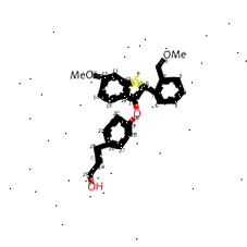 COCc1ccccc1-c1sc2cc(OC)ccc2c1Oc1ccc(/C=C/CO)cc1